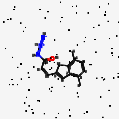 Cc1ccc(C)c2c1C=C(/C=C\C(=O)N=[N+]=[N-])C2